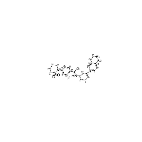 O=C(Nc1cccc(-c2ccc3cnccc3n2)c1)c1ccc(N2CCCCS2(=O)=O)cc1F